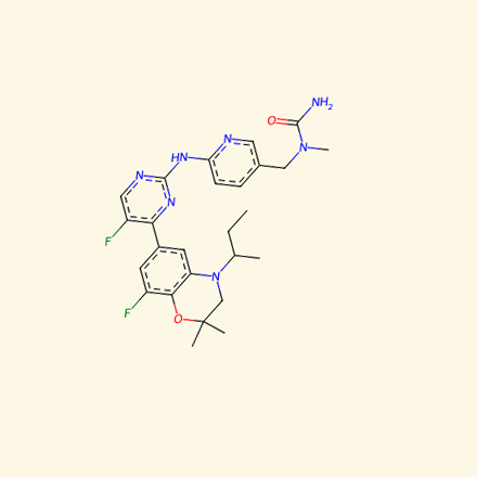 CCC(C)N1CC(C)(C)Oc2c(F)cc(-c3nc(Nc4ccc(CN(C)C(N)=O)cn4)ncc3F)cc21